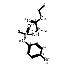 CCOC(=O)[C@H](C)NP(C)(=O)Oc1ccc(Br)cc1